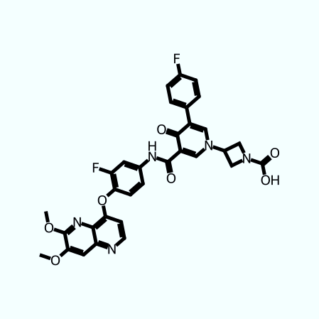 COc1cc2nccc(Oc3ccc(NC(=O)c4cn(C5CN(C(=O)O)C5)cc(-c5ccc(F)cc5)c4=O)cc3F)c2nc1OC